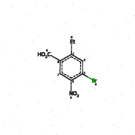 CCc1cc(Br)c([N+](=O)[O-])cc1C(=O)O